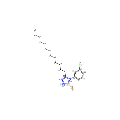 CCCCCCCCCCCCCc1n[nH]c(=S)n1-c1cccc(Cl)c1